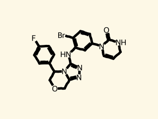 O=C1NCC=CN1c1ccc(Br)c(Nc2nnc3n2C(c2ccc(F)cc2)COC3)c1